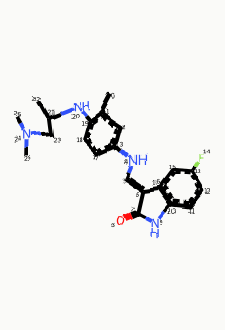 Cc1cc(N/C=C2/C(=O)Nc3ccc(F)cc32)ccc1NC(C)CN(C)C